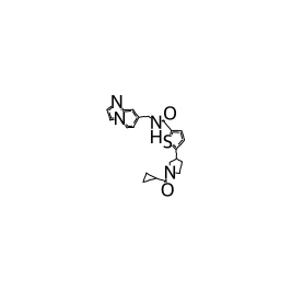 O=C(NCc1ccn2ccnc2c1)c1ccc(C2CCN(C(=O)C3CC3)C2)s1